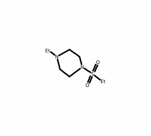 CCN1CCN(S(=O)(=O)CC)CC1